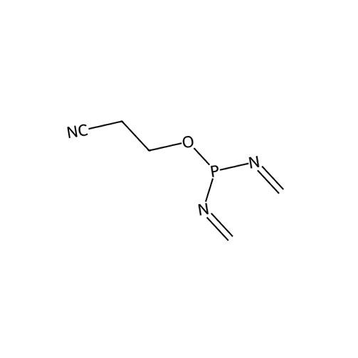 C=NP(N=C)OCCC#N